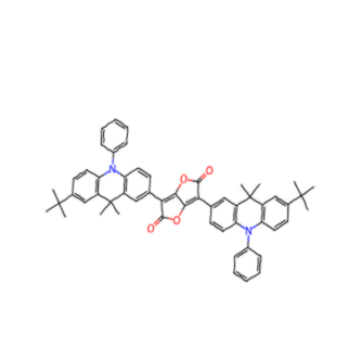 CC(C)(C)c1ccc2c(c1)C(C)(C)c1cc(C3=C4OC(=O)C(c5ccc6c(c5)C(C)(C)c5cc(C(C)(C)C)ccc5N6c5ccccc5)=C4OC3=O)ccc1N2c1ccccc1